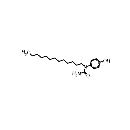 CCCCCCCCCCCCCN(C(N)=O)c1ccc(O)cc1